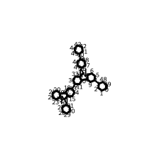 c1ccc(-c2ccc3c(c2)c2cc(-c4ccc5c(c4)c4ccccc4n5-c4ccccc4)ccc2n3-c2ccc(-c3ccccc3)cc2)cc#1